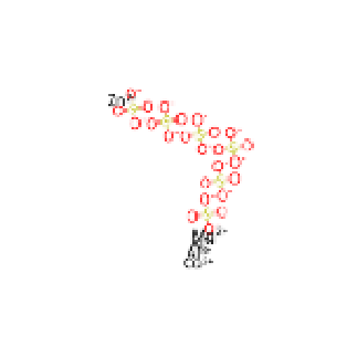 O=S(=O)([O-])[O-].O=S(=O)([O-])[O-].O=S(=O)([O-])[O-].O=S(=O)([O-])[O-].O=S(=O)([O-])[O-].O=S(=O)([O-])[O-].[Al+3].[Al+3].[Cu+2].[Mg+2].[Zn+2]